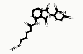 [N-]=[N+]=NCCCCC(=O)Nc1cccc2c1C(=O)N(C1CCC(=O)NC1=O)C2=O